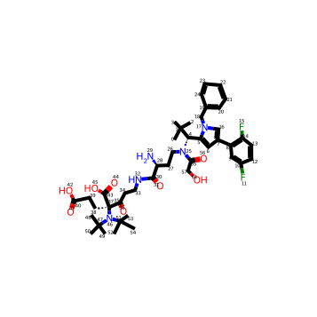 CC(C)(C)[C@H](c1cc(-c2cc(F)ccc2F)cn1Cc1ccccc1)N(CC[C@H](N)C(=O)NCCC(=O)[C@](CCC(=O)O)(C(=O)O)N(C(C)(C)C)C(C)(C)C)C(=O)CO